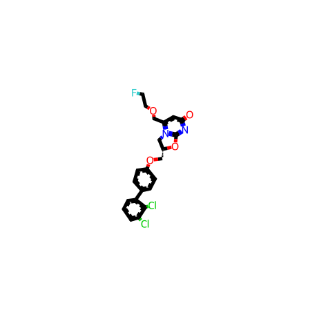 O=c1cc(COCCF)n2c(n1)O[C@H](COc1ccc(-c3cccc(Cl)c3Cl)cc1)C2